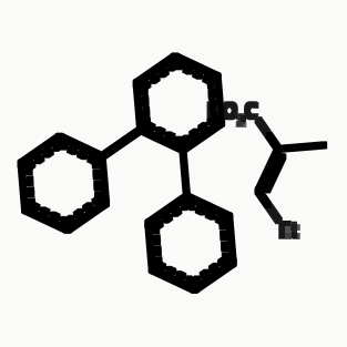 CCC=C(C)C(=O)O.c1ccc(-c2ccccc2-c2ccccc2)cc1